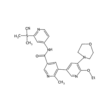 CCOc1ncc(-c2cc(C(=O)Nc3ccnc(S(C)(C)C#N)c3)cnc2C)cc1N1CCOCC1